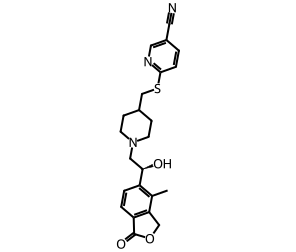 Cc1c([C@H](O)CN2CCC(CSc3ccc(C#N)cn3)CC2)ccc2c1COC2=O